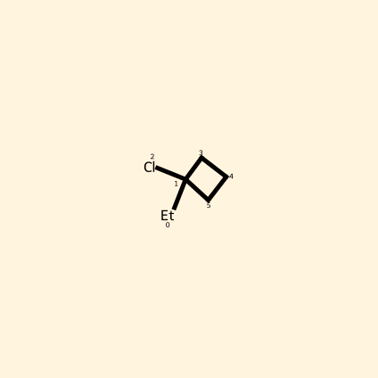 [CH2]CC1(Cl)CCC1